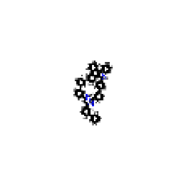 c1ccc(-c2cccc(-c3cc(-c4cccc(-c5ccccc5)c4)nc(-c4cccc(-c5ccc(-c6nc7ccccc7c7c8ccccc8c8ccccc8c67)cc5)c4)n3)c2)cc1